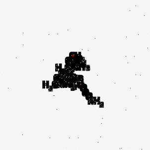 C=C1C[C@H]2[C@H](C)N(B(C)O)c3cc(OCc4cc(C#CCNC(=O)CCOCCOCCOCCOCCN)cc(COc5cc6c(cc5C)C(=O)N5CC(=C)C[C@H]5[C@H](OC5CCCCO5)N6B(C)O)c4)c(OC)cc3C(=O)N2C1